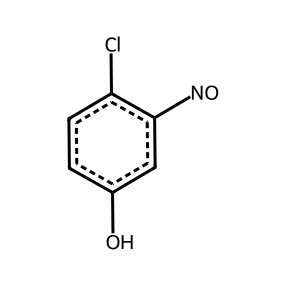 O=Nc1cc(O)ccc1Cl